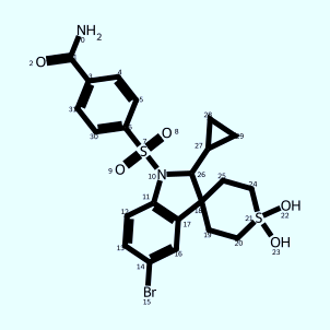 NC(=O)c1ccc(S(=O)(=O)N2c3ccc(Br)cc3C3(CCS(O)(O)CC3)C2C2CC2)cc1